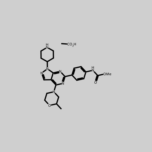 CC(=O)O.COC(=O)Nc1ccc(-c2nc(N3CCOC(C)C3)c3cnn(C4CCNCC4)c3n2)cc1